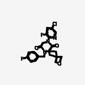 O=C1CN(c2ncc(Cl)cc2F)C(=O)C2(CC3(COC3)C2)N1Cc1ccc(F)cc1